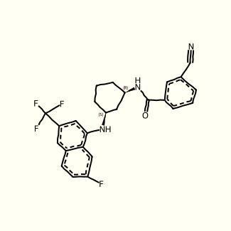 N#Cc1cccc(C(=O)N[C@@H]2CCC[C@H](Nc3cc(C(F)(F)F)cc4ccc(F)cc34)C2)c1